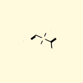 C=C[N+](C)(C)C(C)=O